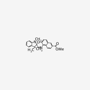 COC(=O)c1ccc2c3c(ccc2c1)OC1(C=N3)N(C)c2ccccc2C1(C)C